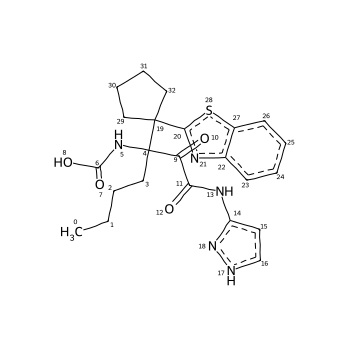 CCCCC(NC(=O)O)(C(=O)C(=O)Nc1cc[nH]n1)C1(c2nc3ccccc3s2)CCCC1